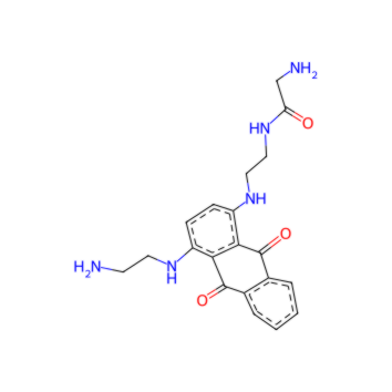 NCCNc1ccc(NCCNC(=O)CN)c2c1C(=O)c1ccccc1C2=O